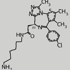 Cc1sc2c(c1C)C(c1ccc(Cl)cc1)=N[C@@H](CC(=O)NCCCCCCN)c1nnc(C)n1-2